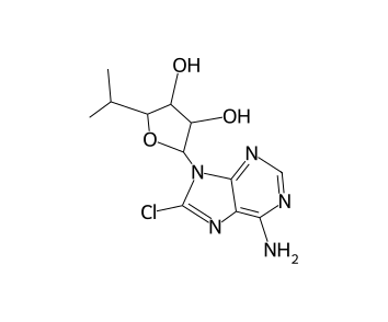 CC(C)C1OC(n2c(Cl)nc3c(N)ncnc32)C(O)C1O